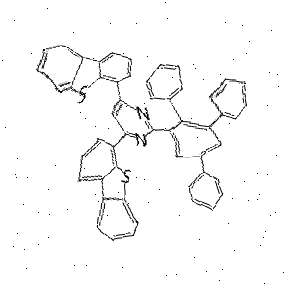 c1ccc(-c2cc(-c3ccccc3)c(-c3ccccc3)c(-c3nc(-c4cccc5c4sc4ccccc45)cc(-c4cccc5c4sc4ccccc45)n3)c2)cc1